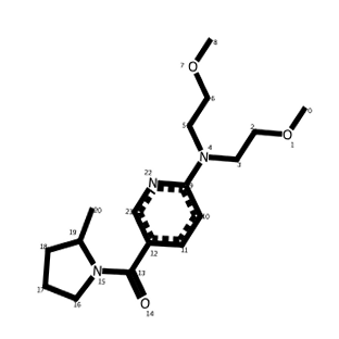 COCCN(CCOC)c1ccc(C(=O)N2CCCC2C)cn1